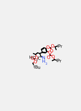 CC(CC(c1ccc(OC(=O)OC(C)C(C)C)c(OC(=O)OC(C)C(C)C)c1)[C@H](N)C(=O)O)OC(=O)OCC(C)(C)C